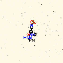 CS(=O)(=O)CCN1CCC(c2ccc(NC(=O)C3=N[C@H](C#N)CN3)c(C3=CCCCC3)c2)CC1